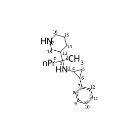 CCCC(C)(NC1CC1c1ccccc1)C1CCCNC1